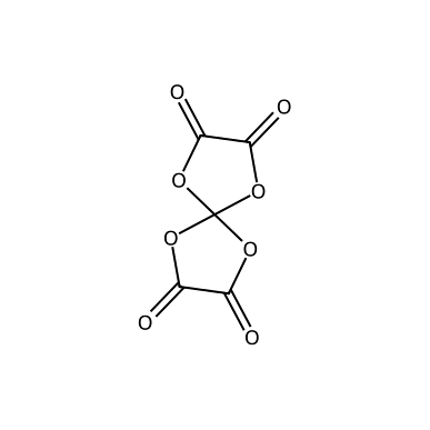 O=C1OC2(OC1=O)OC(=O)C(=O)O2